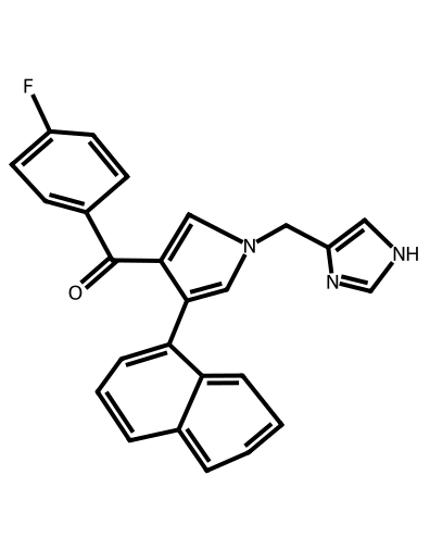 O=C(c1ccc(F)cc1)c1cn(Cc2c[nH]cn2)cc1-c1cccc2ccccc12